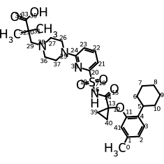 Cc1ccc(C2CCCCC2)c(OC2(C(=O)NS(=O)(=O)c3cccc(N4CCN(CC(C)(C)C(=O)O)CC4)n3)CC2)c1